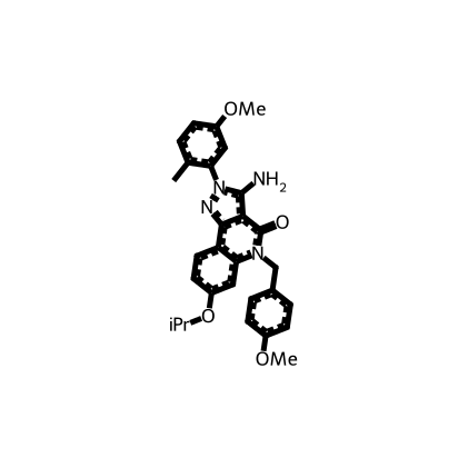 COc1ccc(Cn2c(=O)c3c(N)n(-c4cc(OC)ccc4C)nc3c3ccc(OC(C)C)cc32)cc1